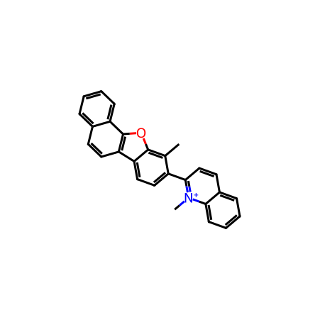 Cc1c(-c2ccc3ccccc3[n+]2C)ccc2c1oc1c3ccccc3ccc21